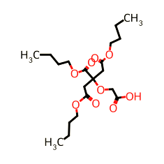 CCCCOC(=O)CC(CC(=O)OCCCC)(OCC(=O)O)C(=O)OCCCC